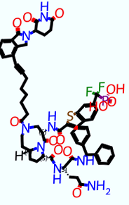 NC(=O)CC[C@H](NC(=O)[C@@H]1CC[C@@H]2CCN(C(=O)CCCCCC#Cc3cccc4c3CN(C3CCC(=O)NC3=O)C4=O)C[C@H](NC(=O)c3cc4ccc(C(F)(F)P(=O)(O)O)cc4s3)C(=O)N21)C(=O)NC(c1ccccc1)c1ccccc1